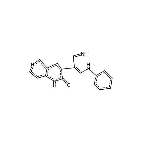 N=C/C(=C\Nc1ccccc1)c1cc2cnccc2[nH]c1=O